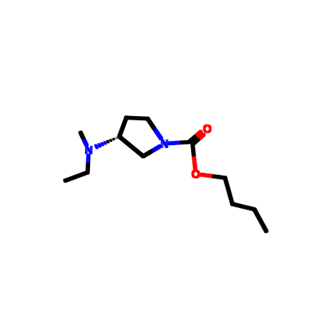 CCCCOC(=O)N1CC[C@@H](N(C)CC)C1